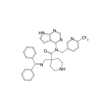 O=C(N(Cc1ccc(C(F)(F)F)nc1)c1ncnc2[nH]ccc12)C1(CN=C(c2ccccc2)c2ccccc2)CCNCC1